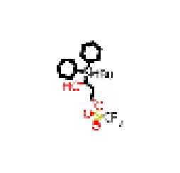 CC(C)(C)[Si](c1ccccc1)(c1ccccc1)C(O)CCOS(=O)(=O)C(F)(F)F